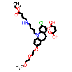 CCOC(=O)/C=C/CNCCCCN1c2ccc(OCCOCCOC)cc2CCc2ccc(Cl)cc21.O=C(O)/C=C\C(=O)O